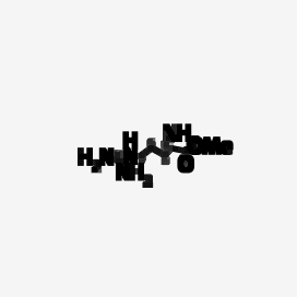 COC(=O)[C@@H](N)CCCNC(N)N